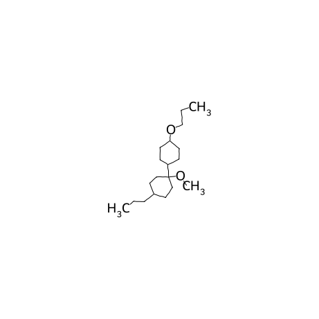 CCCOC1CCC(C2(OC)CCC(CCC)CC2)CC1